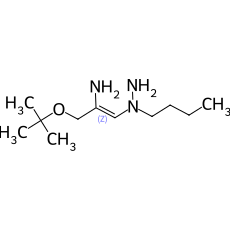 CCCCN(N)/C=C(\N)COC(C)(C)C